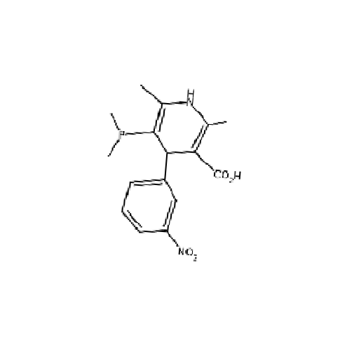 CC1=C(C(=O)O)C(c2cccc([N+](=O)[O-])c2)C(P(C)C)=C(C)N1